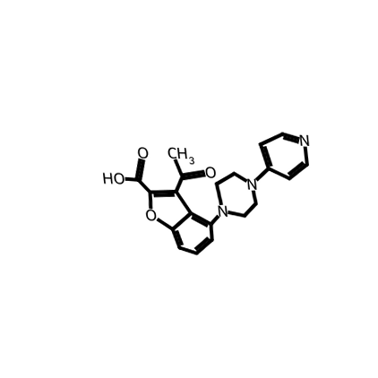 CC(=O)c1c(C(=O)O)oc2cccc(N3CCN(c4ccncc4)CC3)c12